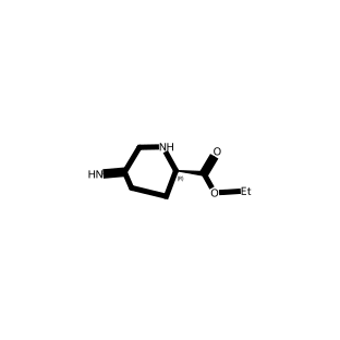 CCOC(=O)[C@H]1CCC(=N)CN1